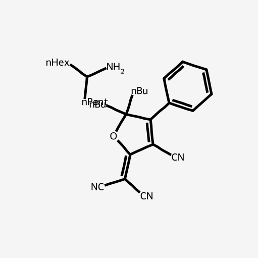 CCCCC1(CCCC)OC(=C(C#N)C#N)C(C#N)=C1c1ccccc1.CCCCCCC(N)CCCCC